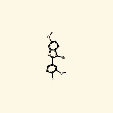 COc1ccc2c(Br)c(-c3ccc(F)c(OC)c3)sc2c1